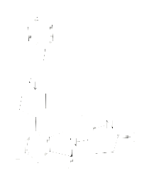 Cc1ccccc1CCN1CCC(c2cc(F)cc3c2CN(C2CCC(=O)NC2=O)C3=O)CC1